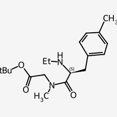 CCN[C@@H](Cc1ccc(C)cc1)C(=O)N(C)CC(=O)OC(C)(C)C